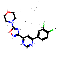 Clc1ccc(-c2cc(-c3noc(N4CCOCC4)n3)ncn2)cc1Cl